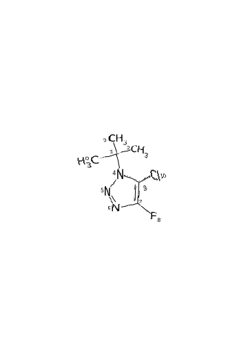 CC(C)(C)n1nnc(F)c1Cl